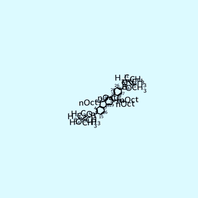 CCCCCCCCC1(CCCCCCCC)c2cc(BOC(C)(C)C(C)(C)O)ccc2-c2cc3c(cc21)-c1ccc(B2OC(C)(C)C(C)(C)O2)cc1C3(CCCCCCCC)CCCCCCCC